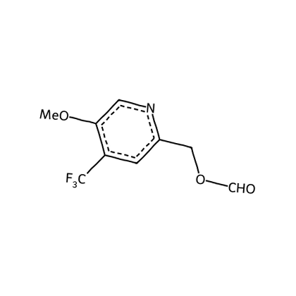 COc1cnc(COC=O)cc1C(F)(F)F